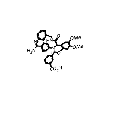 COc1cc(OCc2cccc(C(=O)O)c2)c(C(Nc2ccc(C(=N)N)cc2)C(=O)NCc2ccccc2)cc1OC